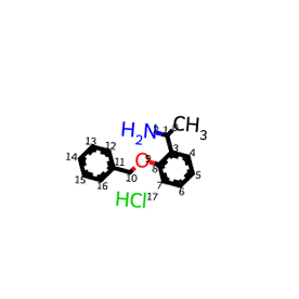 CC(N)c1ccccc1OCc1ccccc1.Cl